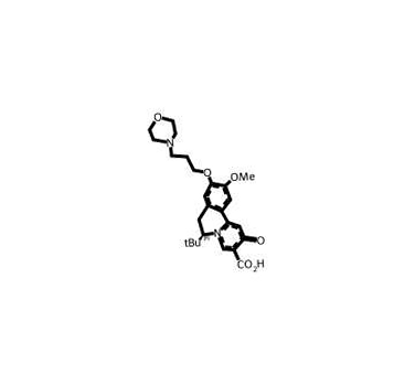 COc1cc2c(cc1OCCCN1CCOCC1)C[C@H](C(C)(C)C)n1cc(C(=O)O)c(=O)cc1-2